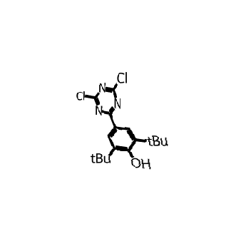 CC(C)(C)c1cc(-c2nc(Cl)nc(Cl)n2)cc(C(C)(C)C)c1O